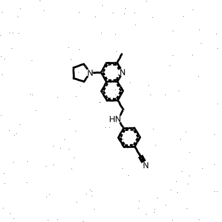 Cc1cc(N2CCCC2)c2ccc(CNc3ccc(C#N)cc3)cc2n1